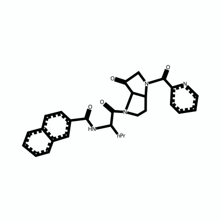 CCCC(NC(=O)c1ccc2ccccc2c1)C(=O)N1CCC2C1C(=O)CN2C(=O)c1ccccn1